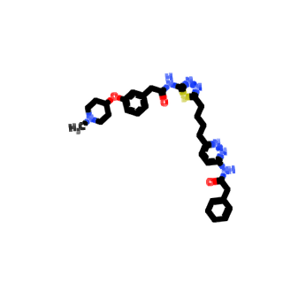 CN1CCC(Oc2cccc(CC(=O)Nc3nnc(CCCCc4ccc(NC(=O)CC5=CCCC=C5)nn4)s3)c2)CC1